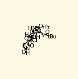 CC(C)OC(=O)[C@@H](C)N[P@](=O)(OCCSC(=O)C(C)(C)C)OC1[C@H]2O[C@@H](n3ccc(=O)[nH]c3=O)[C@](C)(Cl)[C@@]12O